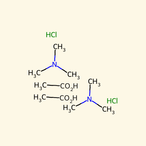 CC(=O)O.CC(=O)O.CN(C)C.CN(C)C.Cl.Cl